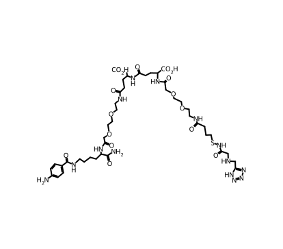 NC(=O)C(CCCCNC(=O)c1ccc(N)cc1)NC(=O)COCCOCCNC(=O)CCC(NC(=O)CCC(NC(=O)COCCOCCNC(=O)CCCSNC(=O)CNCc1nnn[nH]1)C(=O)O)C(=O)O